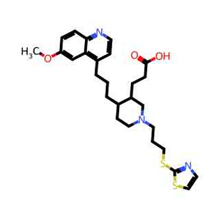 COc1ccc2nccc(CCCC3CCN(CCCSc4nccs4)CC3CCC(=O)O)c2c1